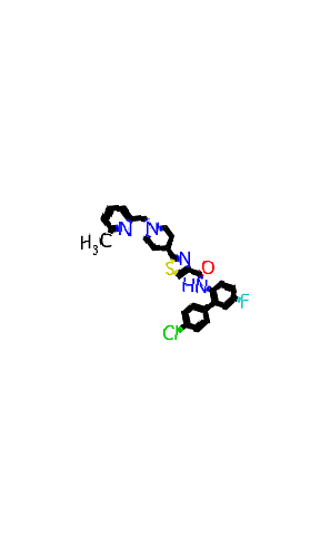 Cc1cccc(CN2CCC(c3nc(C(=O)Nc4ccc(F)cc4-c4ccc(Cl)cc4)cs3)CC2)n1